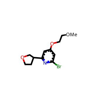 COCCOc1cc(Br)nc(C2CCOC2)c1